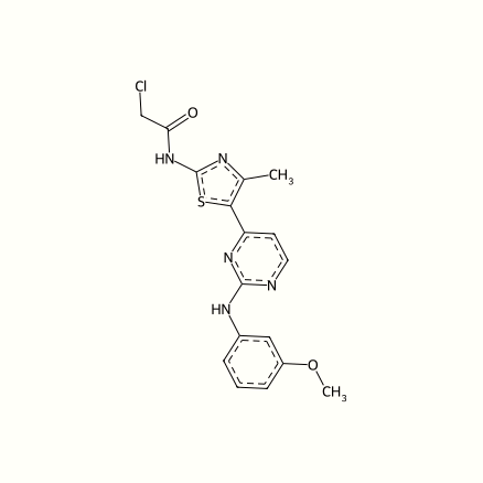 COc1cccc(Nc2nccc(-c3sc(NC(=O)CCl)nc3C)n2)c1